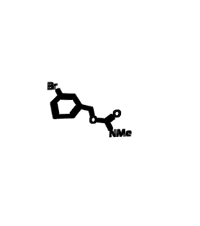 CNC(=O)OCc1cccc(Br)c1